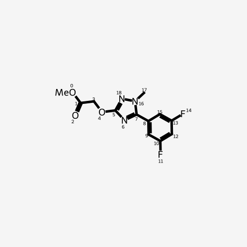 COC(=O)COc1nc(-c2cc(F)cc(F)c2)n(C)n1